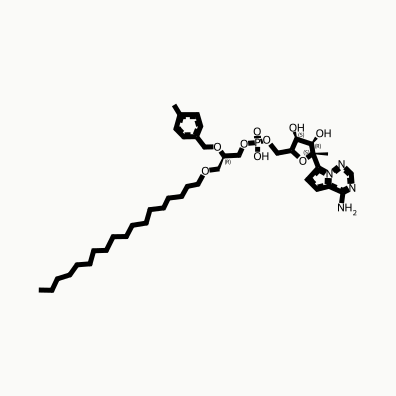 CCCCCCCCCCCCCCCCCCOC[C@H](COP(=O)(O)OCC1O[C@@](C)(c2ccc3c(N)ncnn23)[C@H](O)[C@@H]1O)OCc1ccc(C)cc1